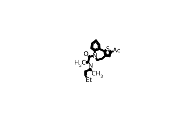 C=C(/N=C(C)\C=C/CC)C(=O)N1CCc2cc(C(C)=O)sc2-c2ccccc21